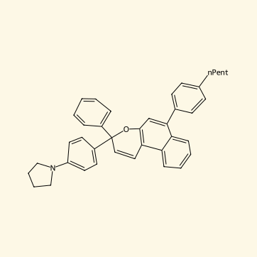 CCCCCc1ccc(-c2cc3c(c4ccccc24)C=CC(c2ccccc2)(c2ccc(N4CCCC4)cc2)O3)cc1